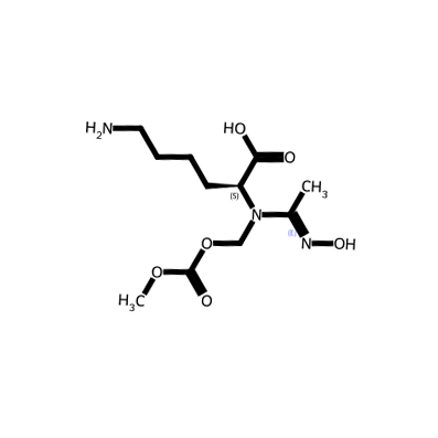 COC(=O)OCN(/C(C)=N/O)[C@@H](CCCCN)C(=O)O